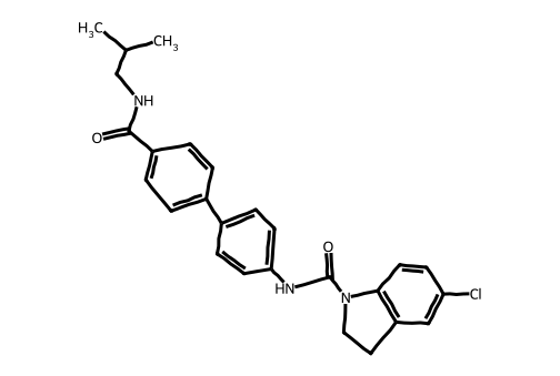 CC(C)CNC(=O)c1ccc(-c2ccc(NC(=O)N3CCc4cc(Cl)ccc43)cc2)cc1